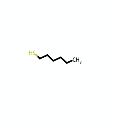 CC[CH]CCCS